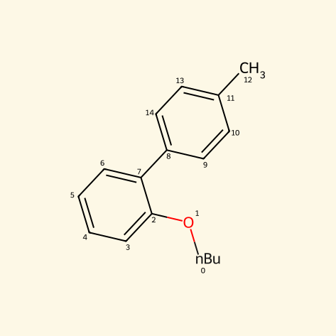 CCCCOc1ccccc1-c1ccc(C)cc1